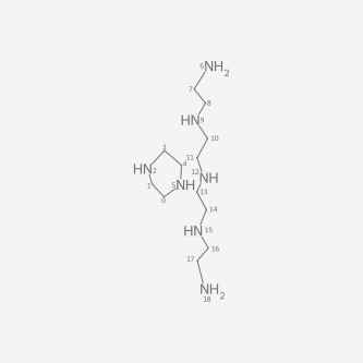 C1CNCCN1.NCCNCCNCCNCCN